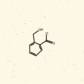 O=C(Cl)c1ccccc1CO